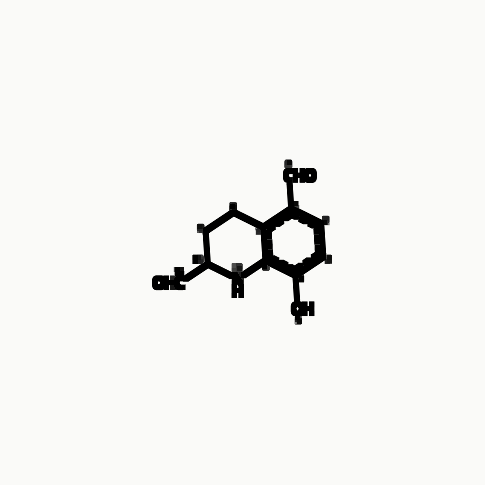 O=Cc1ccc(O)c2c1CCC(C=O)N2